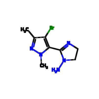 Cc1nn(C)c(C2=NCCN2N)c1Br